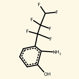 Nc1c(O)cccc1C(F)(F)C(F)(F)C(F)F